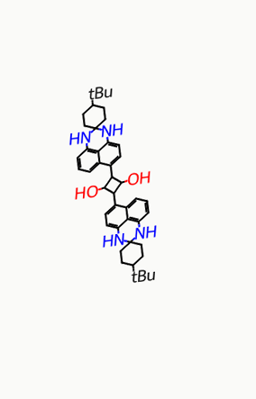 CC(C)(C)C1CCC2(CC1)Nc1cccc3c(C4C(O)C(c5ccc6c7c(cccc57)NC5(CCC(C(C)(C)C)CC5)N6)C4O)ccc(c13)N2